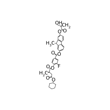 C=C(CO)C(=O)Oc1ccc2c(c1)C(C)c1cc(OC(=O)c3ccc(OC(=O)C(=C)CC(=O)OC4CCCCC4)c(F)c3)ccc1-2